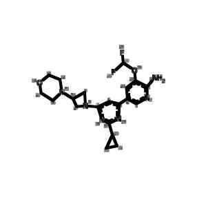 Nc1ncc(-c2cc(N3CC(N4CCOCC4)C3)nc(C3CC3)n2)cc1OC(F)F